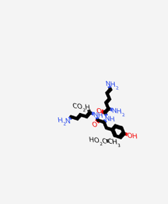 CC(=O)O.NCCCCC(N)C(=O)NC(Cc1ccc(O)cc1)C(=O)NC(CCCCN)C(=O)O